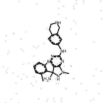 Cc1cccc(Br)c1C1(N)NN(C)c2nc(Nc3ccc4c(c3)CNCC4)ncc21